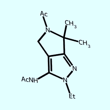 CCn1nc2c(c1NC(C)=O)CN(C(C)=O)C2(C)C